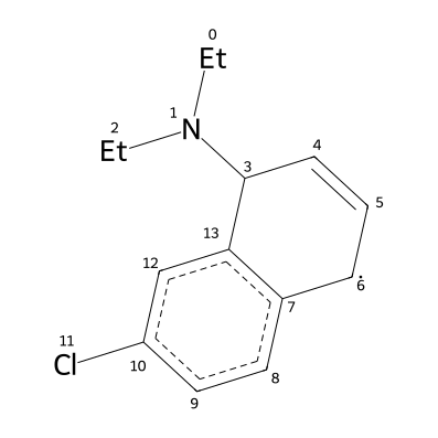 CCN(CC)C1C=C[CH]c2ccc(Cl)cc21